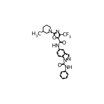 CC1CCCN(c2nc(C(F)(F)F)c(C(=O)Nc3ccc4c(cnn4C(=O)Nc4ccccc4)c3)o2)C1